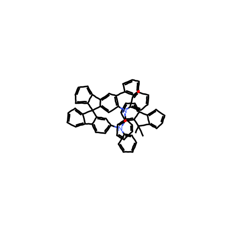 CC1(C)c2ccccc2-c2cccc(N(c3ccccc3)c3ccc4c(c3)C3(c5ccccc5-4)c4ccccc4-c4cc(-c5ccccc5)c(N(c5ccccc5)c5ccccc5)cc43)c21